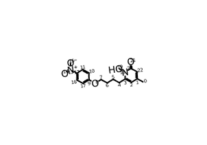 Cc1cc(CCCCOc2ccc([N+](=O)[O-])cc2)n(O)c(=O)c1